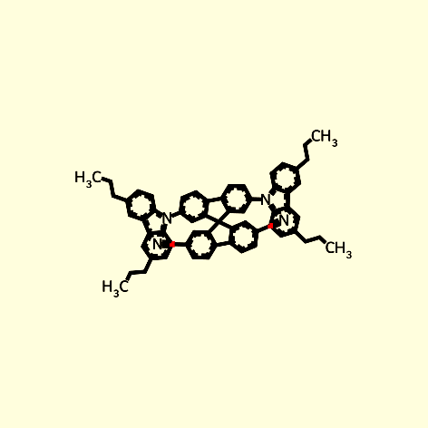 CCCc1ccc2c(c1)c1cc(CCC)ccc1n2-c1ccc2c(c1)C1(c3cc(C#N)ccc3-c3ccc(C#N)cc31)c1cc(-n3c4ccc(CCC)cc4c4cc(CCC)ccc43)ccc1-2